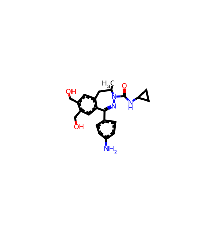 CC1Cc2cc(CO)c(CO)cc2C(c2ccc(N)cc2)=NN1C(=O)NC1CC1